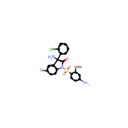 COc1cc(N)ccc1S(=O)(=O)N1C(=O)C(N)(c2ccccc2Cl)c2cc(Cl)ccc21